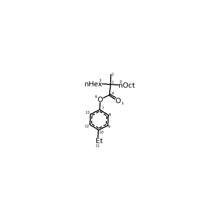 CCCCCCCCC(C)(CCCCCC)C(=O)Oc1ccc(CC)cc1